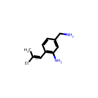 CC/C(C)=C/c1ccc(CN)cc1N